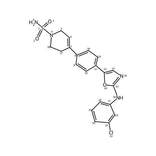 NS(=O)(=O)N1CC=C(c2ccc(-c3cnc(Nc4cccc(Cl)c4)o3)cc2)CC1